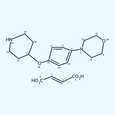 O=C(O)C=CC(=O)O.c1cc(N2CCOCC2)ccc1OC1CCNCC1